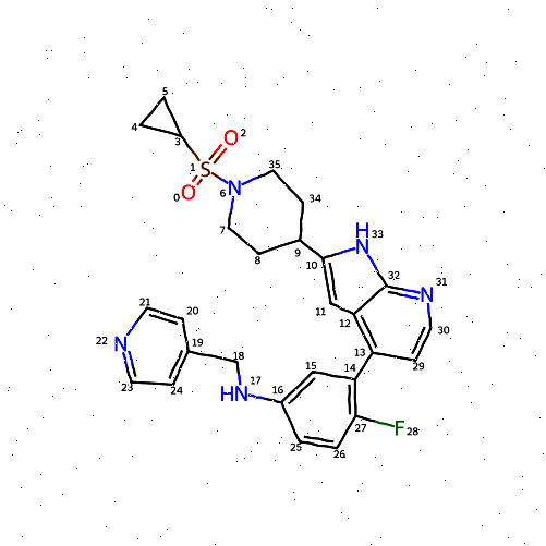 O=S(=O)(C1CC1)N1CCC(c2cc3c(-c4cc(NCc5ccncc5)ccc4F)ccnc3[nH]2)CC1